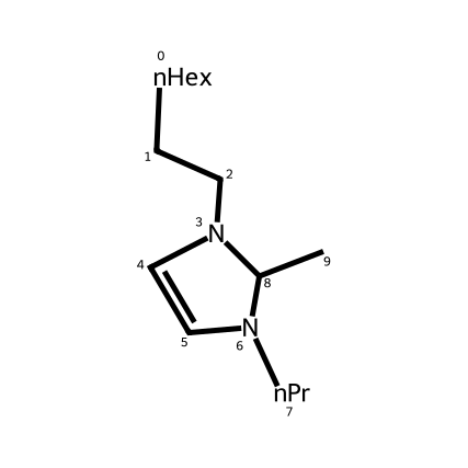 CCCCCCCCN1C=CN(CCC)C1C